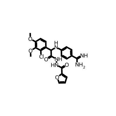 COc1ccc(C(Nc2ccc(C(=N)N)cc2)C(=O)NNC(=O)c2ccco2)c(Cl)c1OC